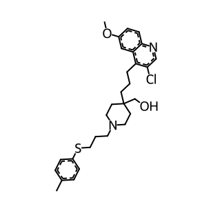 COc1ccc2ncc(Cl)c(CCCC3(CO)CCN(CCCSc4ccc(C)cc4)CC3)c2c1